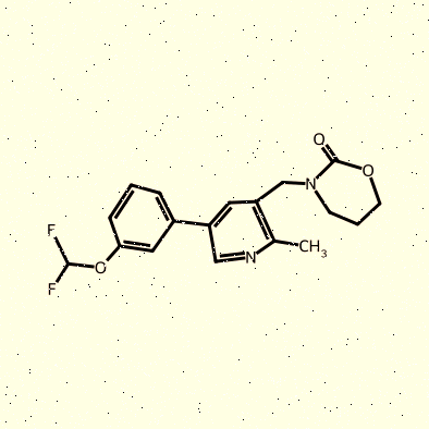 Cc1ncc(-c2cccc(OC(F)F)c2)cc1CN1CCCOC1=O